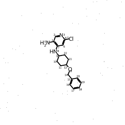 Nc1cnc(Cl)cc1NC1CCC(OCc2ccccc2)CC1